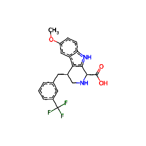 COc1ccc2[nH]c3c(c2c1)C(Cc1cccc(C(F)(F)F)c1)CNC3C(=O)O